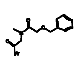 CC(C)C(=O)CN(C)C(=O)COCc1ccccc1